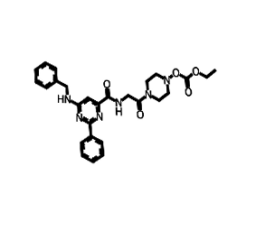 CCOC(=O)ON1CCN(C(=O)CNC(=O)c2cc(NCc3ccccc3)nc(-c3ccccc3)n2)CC1